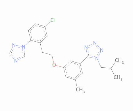 Cc1cc(OCCc2cc(Cl)ccc2-n2cncn2)cc(-c2nnnn2CC(C)C)c1